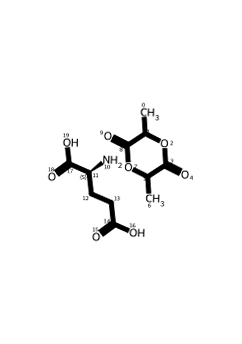 CC1OC(=O)C(C)OC1=O.N[C@@H](CCC(=O)O)C(=O)O